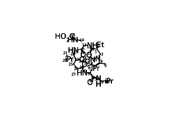 CC[C@@H](Cn1nc(C)cc1C)C(=O)N[C@@H](CNC(=O)O)C(=O)N[C@@H](CC(C)C)[C@@H](O)C[C@@H](C)C(=O)N[C@H](C(=O)NCC(C)C)C(C)C